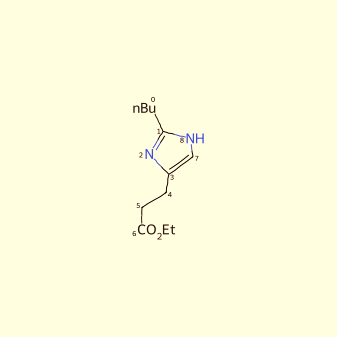 CCCCc1nc(CCC(=O)OCC)c[nH]1